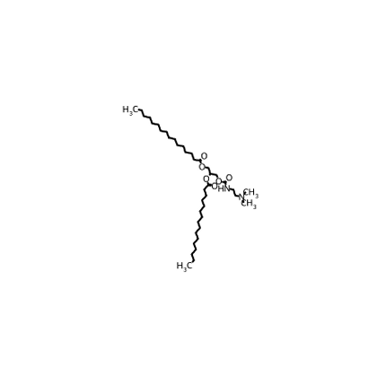 CCCCCCCCCCCCCCCC(=O)OCC(COC(=O)NCCN(C)C)OC(=O)CCCCCCCCCCCCCCC